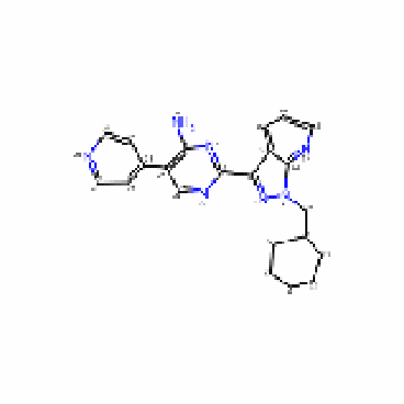 Nc1nc(-c2nn(CC3CCCCC3)c3ncccc23)ncc1-c1ccncc1